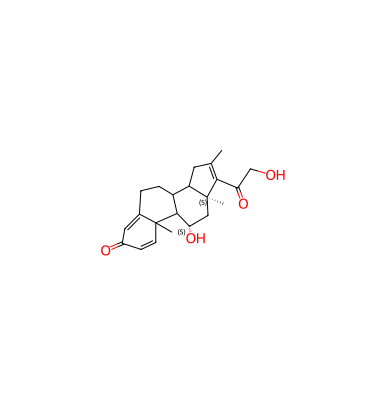 CC1=C(C(=O)CO)[C@@]2(C)C[C@H](O)C3C(CCC4=CC(=O)C=CC43C)C2C1